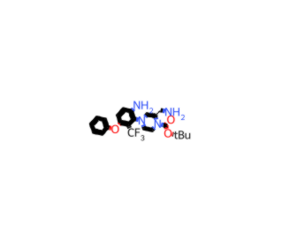 CC(C)(C)OC(=O)N1CCN(c2c(N)ccc(Oc3ccccc3)c2C(F)(F)F)C[C@@H]1CN